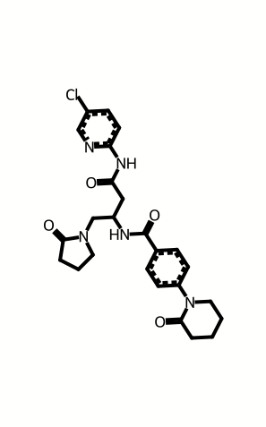 O=C(CC(CN1CCCC1=O)NC(=O)c1ccc(N2CCCCC2=O)cc1)Nc1ccc(Cl)cn1